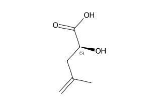 C=C(C)C[C@H](O)C(=O)O